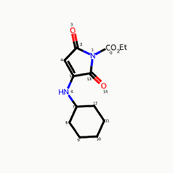 CCOC(=O)N1C(=O)C=C(NC2CCCCC2)C1=O